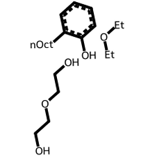 CCCCCCCCc1ccccc1O.CCOCC.OCCOCCO